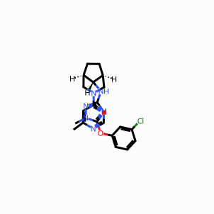 Cc1cc(N2C[C@H]3CC[C@@H](C2)[C@@H]3Nc2nc(Oc3cccc(Cl)c3)n(C)n2)ncn1